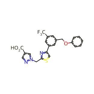 O=C(O)c1cnn(Cc2nc(-c3cc(COc4ccccc4)cc(C(F)(F)F)c3)cs2)c1